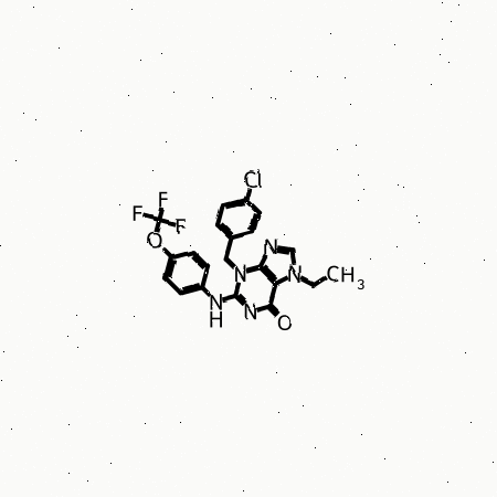 CCn1cnc2c1c(=O)nc(Nc1ccc(OC(F)(F)F)cc1)n2Cc1ccc(Cl)cc1